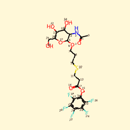 CC(=O)NC1C(OCCCSCCC(=O)Oc2c(F)c(F)c(F)c(F)c2F)OC(CO)C(O)C1O